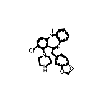 Clc1ccc2c(c1N1CCNCC1)C(Cc1ccc3c(c1)OCO3)=Nc1ccccc1N2